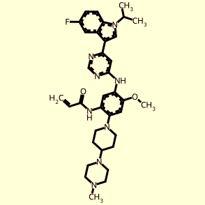 C=CC(=O)Nc1cc(Nc2cc(-c3cn(C(C)C)c4ccc(F)cc34)ncn2)c(OC)cc1N1CCC(N2CCN(C)CC2)CC1